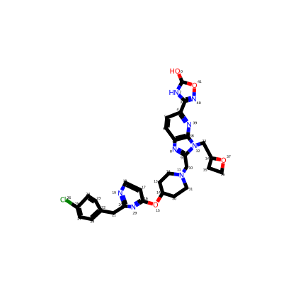 OC1NC(c2ccc3nc(CN4CCC(Oc5ccnc(Cc6ccc(Cl)cc6)n5)CC4)n(CC4CCO4)c3n2)=NO1